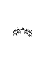 Cc1ccn2c(C)c(C3CC3c3nc4cncc(C)n4n3)nc2c1C